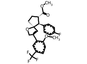 COC(=O)[C@H]1CC[C@@]2(C=C(c3cc(C(F)(F)F)ccc3OC)CO2)[C@@H]1c1ccc(F)cc1